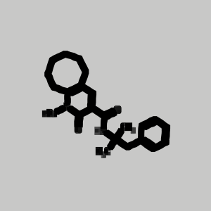 CCCCn1c2c(cc(C(=O)NC(C)(C)Cc3ccccc3)c1=O)CCCCCC2